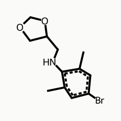 Cc1cc(Br)cc(C)c1NCC1COCO1